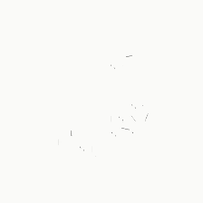 NC(CCCC[n+]1cccc2nc(NCCCC(N)C(=O)O)[nH]c21)C(=O)O